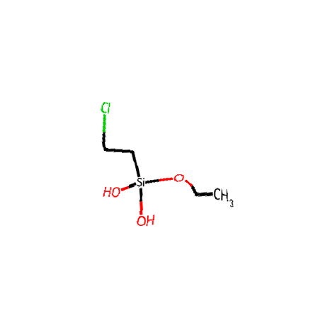 CCO[Si](O)(O)CCCl